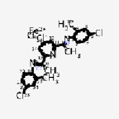 C/C(=N\c1ccc(Cl)cc1C)c1cccc(/C(C)=N/c2ccc(Cl)cc2C)n1.[Cl-].[Cl-].[Fe+2]